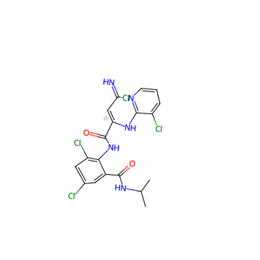 CC(C)NC(=O)c1cc(Cl)cc(Cl)c1NC(=O)/C(=C/C(=N)Cl)Nc1ncccc1Cl